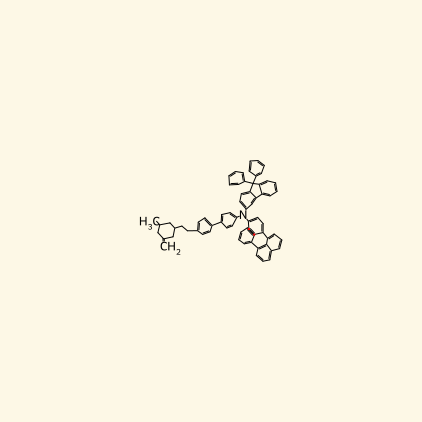 C=C1CC(C)CC(CCc2ccc(-c3ccc(N(c4ccc(-c5cccc6cccc(-c7ccccc7)c56)cc4)c4ccc5c(c4)-c4ccccc4C5(c4ccccc4)c4ccccc4)cc3)cc2)C1